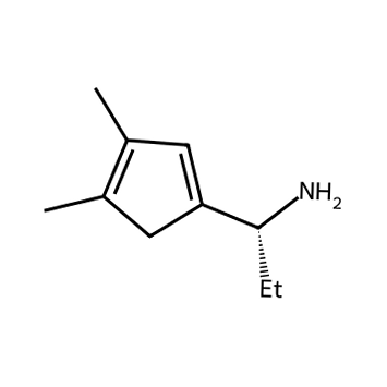 CC[C@@H](N)C1=CC(C)=C(C)C1